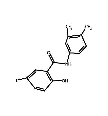 O=C(Nc1ccc(C(F)(F)F)c(C(F)(F)F)c1)c1cc(F)ccc1O